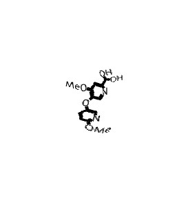 COc1ccc(Oc2cnc(C(O)O)cc2OC)cn1